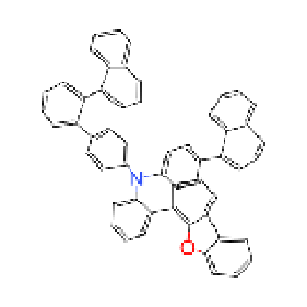 c1ccc(-c2cccc3ccccc23)c(-c2ccc(N(c3ccc(-c4cccc5ccccc45)cc3)c3ccccc3-c3cccc4c3oc3ccccc34)cc2)c1